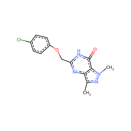 Cc1nn(C)c2c(=O)[nH]c(COc3ccc(Cl)cc3)nc12